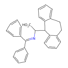 O=C(O)C(N=C(c1ccccc1)c1ccccc1)C1c2ccccc2CCc2ccccc21